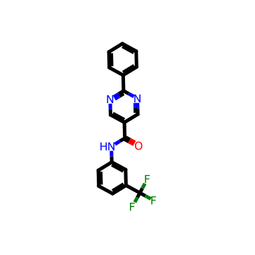 O=C(Nc1cccc(C(F)(F)F)c1)c1cnc(-c2ccccc2)nc1